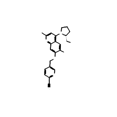 Cc1cc(N2CCC[C@H]2CO)c2cc(F)c(OCc3ccc(C#N)nc3)cc2n1